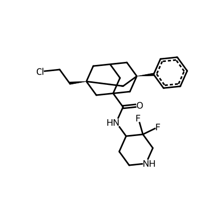 O=C(NC1CCNCC1(F)F)C12CC3C[C@@](CCCl)(C1)C[C@](c1ccccc1)(C3)C2